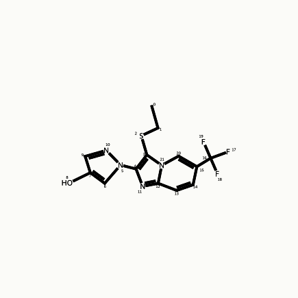 CCSc1c(-n2cc(O)cn2)nc2ccc(C(F)(F)F)cn12